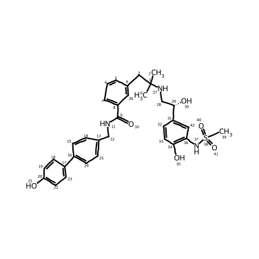 CC(C)(Cc1cccc(C(=O)NCc2ccc(-c3ccc(O)cc3)cc2)c1)NC[C@H](O)c1ccc(O)c(NS(C)(=O)=O)c1